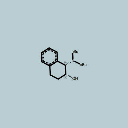 CCCCN(CCCC)[C@H]1c2ccccc2CC[C@H]1O